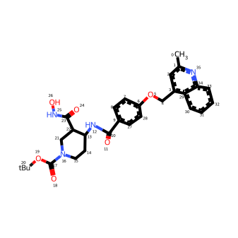 Cc1cc(COc2ccc(C(=O)NC3CCN(C(=O)OC(C)(C)C)CC3C(=O)NO)cc2)c2ccccc2n1